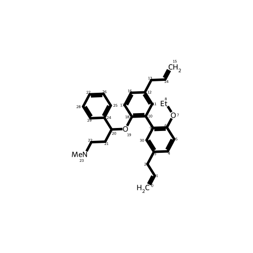 C=CCc1ccc(OCC)c(-c2cc(CC=C)ccc2OC(CCNC)c2ccccc2)c1